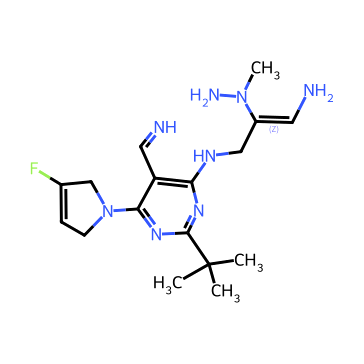 CN(N)/C(=C\N)CNc1nc(C(C)(C)C)nc(N2CC=C(F)C2)c1C=N